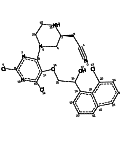 N#CC[C@H]1CN(c2nc(Cl)nc(Cl)c2OCC(O)c2cccc3cccc(Cl)c23)CCN1